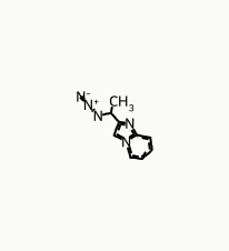 CC(N=[N+]=[N-])c1cn2ccccc2n1